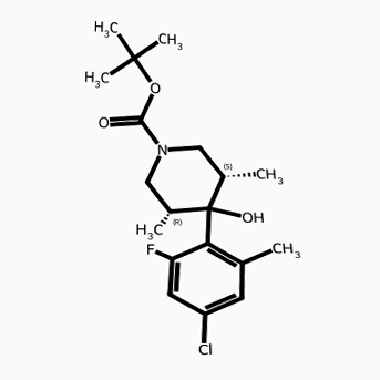 Cc1cc(Cl)cc(F)c1C1(O)[C@H](C)CN(C(=O)OC(C)(C)C)C[C@@H]1C